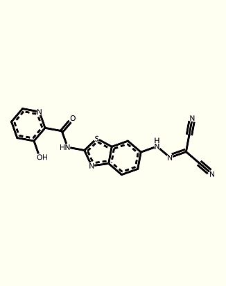 N#CC(C#N)=NNc1ccc2nc(NC(=O)c3ncccc3O)sc2c1